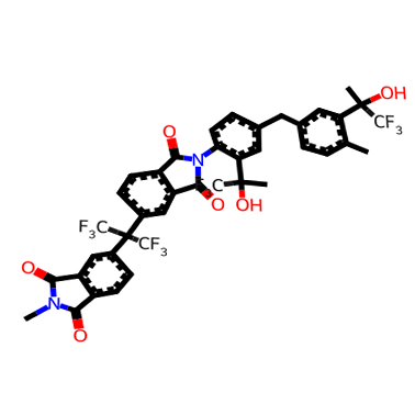 Cc1ccc(Cc2ccc(N3C(=O)c4ccc(C(c5ccc6c(c5)C(=O)N(C)C6=O)(C(F)(F)F)C(F)(F)F)cc4C3=O)c(C(C)(O)C(F)(F)F)c2)cc1C(C)(O)C(F)(F)F